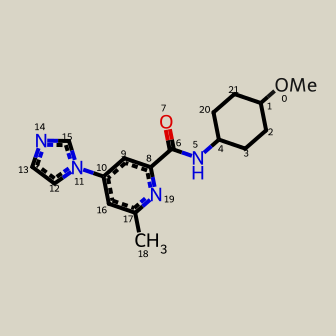 COC1CCC(NC(=O)c2cc(-n3ccnc3)cc(C)n2)CC1